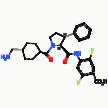 NC[C@H]1CC[C@H](C(=O)N2CC[C@H](c3ccccc3)[C@H]2C(=O)Nc2cc(F)c(C(=O)O)cc2F)CC1